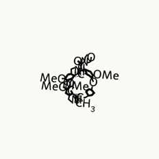 COc1cc2c3cc1Oc1ccc(cc1)CC[C@H]1c4cc(c(OC)cc4CCN1C)Oc1c(OC)c(OC)cc4c1[C@H](C3)N(CC4)N2C(=O)N1CCOCC1